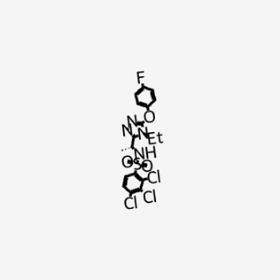 CCn1c(Oc2ccc(F)cc2)nnc1[C@@H](C)NS(=O)(=O)c1ccc(Cl)c(Cl)c1Cl